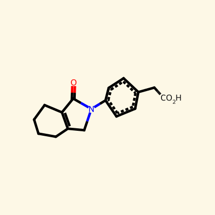 O=C(O)Cc1ccc(N2CC3=C(CCCC3)C2=O)cc1